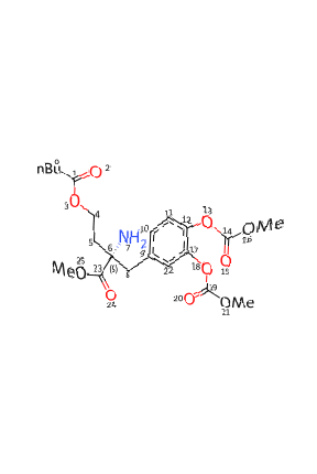 CCCCC(=O)OCC[C@@](N)(Cc1ccc(OC(=O)OC)c(OC(=O)OC)c1)C(=O)OC